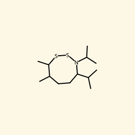 CC(C)C1CCC(C)C(C)SSN1C(C)C